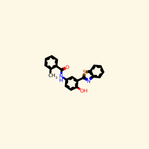 Cc1ccccc1C(=O)Nc1ccc(O)c(-c2nc3ccccc3s2)c1